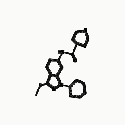 CSc1nn(-c2ccccc2)c2cc(NC(=O)c3ccncc3)ccc12